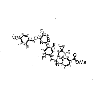 COC(=O)c1ccc2nc(Cc3cc(F)c(-c4ncc(F)c(OCc5ccc(C#N)cc5F)n4)cc3F)n(CC3(CF)CC3)c2c1